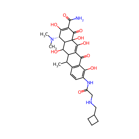 CC1c2ccc(NC(=O)CNCC3CCC3)c(O)c2C(=O)C2=C(O)C3(O)C(=O)C(C(N)=O)=C(O)[C@@H](N(C)C)C3C(O)C21